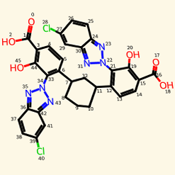 O=C(O)c1ccc(C2CCCC(c3ccc(C(=O)O)c(O)c3-n3nc4ccc(Cl)cc4n3)C2)c(-n2nc3ccc(Cl)cc3n2)c1O